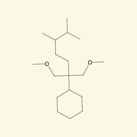 COCC(CCC(C)C(C)C)(COC)C1CCCCC1